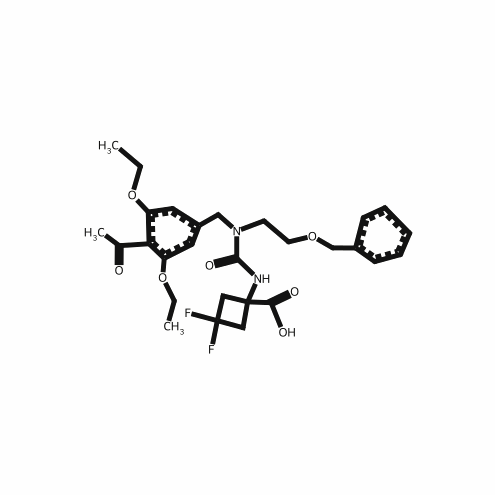 CCOc1cc(CN(CCOCc2ccccc2)C(=O)NC2(C(=O)O)CC(F)(F)C2)cc(OCC)c1C(C)=O